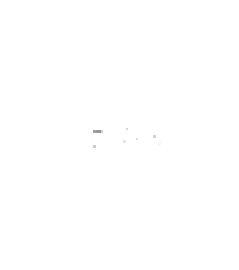 CC1(C)COC(c2ccc(-c3ccc(CO)cc3)cc2)=N1